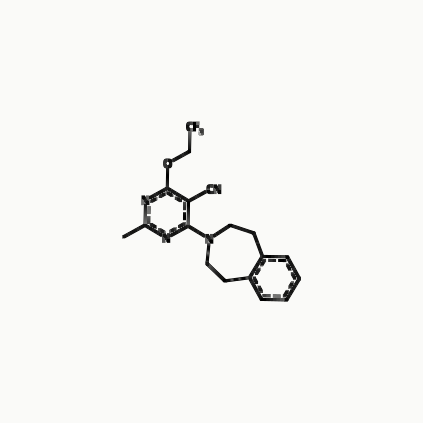 Cc1nc(OCC(F)(F)F)c(C#N)c(N2CCc3ccccc3CC2)n1